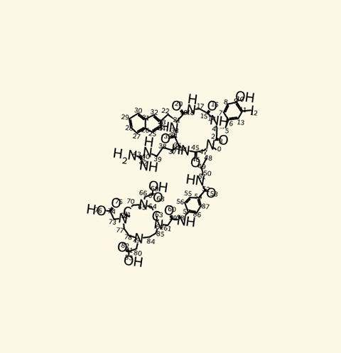 CN1C(=O)[C@@H](Cc2ccc(O)c(I)c2)NC(=O)CNC(=O)[C@H](Cc2ccc3ccccc3c2)NC(=O)[C@H](CCCNC(=N)N)NC(=O)[C@H]1CCCNC(=O)c1ccc(NC(=O)CN2CCN(CC(=O)O)CCN(CC(=O)O)CCN(CC(=O)O)CC2)cc1